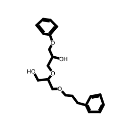 OCC(COCCCc1ccccc1)OCC(O)COc1ccccc1